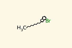 CCCCCCCCCCC1=Cc2c(Br)cccc2C1